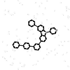 c1ccc(-c2ccc(-c3cccc(-c4ccc5c(c4)c4cc(-c6ccccc6)ccc4n5-c4ccncc4)c3)cc2)cc1